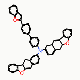 C1=C2CC3Oc4ccccc4C3=CC2CC(N(c2ccc(-c3ccc(-c4cc5ccccc5o4)cc3)cc2)c2ccc3c(c2)CC2C(=C3)Oc3ccccc32)=C1